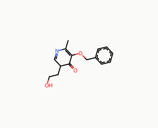 CC1=C(OCc2ccccc2)C(=O)C(CCO)C=N1